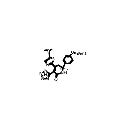 CCCCCOc1ccc([C@]2(C)CC(c3ncc(N(C)C)s3)=C(c3nnn[nH]3)C(=O)N2)cc1